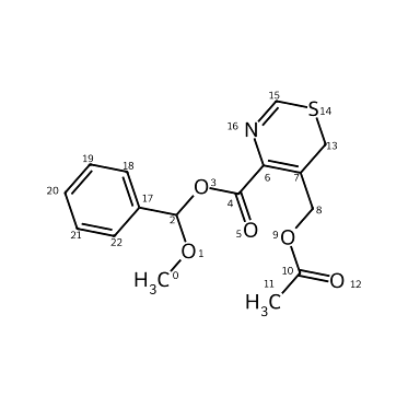 COC(OC(=O)C1=C(COC(C)=O)CSC=N1)c1ccccc1